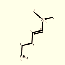 CCCCCCC=C[Si](C)C